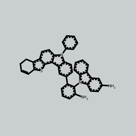 Nc1ccc2c(c1)c1ccccc1n2-c1c(N)cccc1-c1ccc2c(c1)c1c3sc4c(c3ccc1n2-c1ccccc1)CCC=C4